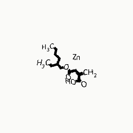 C=C(CC(=O)OCC(CC)CCCC)C(=O)O.[Zn]